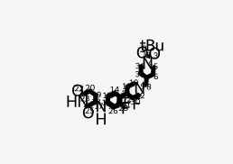 CC(C)(C)OC(=O)N1CCC(CN2CCC(c3ccc(NC4CCC(=O)NC4=O)cc3F)C(F)(F)C2)CC1